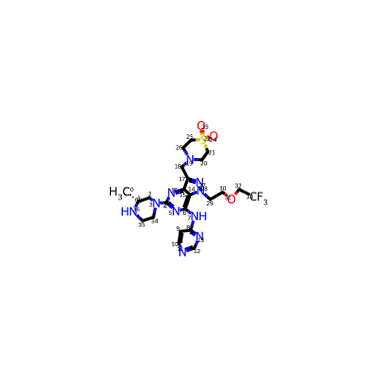 C[C@@H]1CN(c2nc(Nc3ccncn3)c3c(n2)c(CN2CCS(=O)(=O)CC2)nn3CCOCC(F)(F)F)CCN1